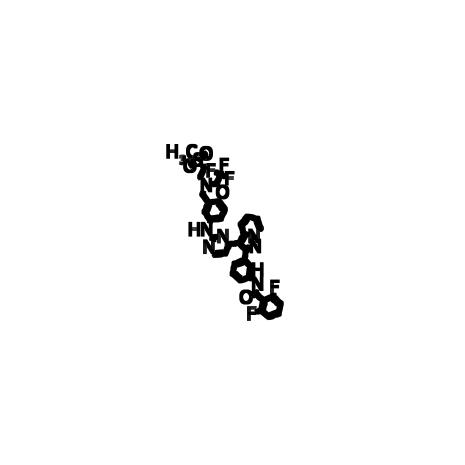 CS(=O)(=O)CCN(Cc1cccc(Nc2nccc(-c3c(-c4cccc(NC(=O)c5c(F)cccc5F)c4)nn4ccccc34)n2)c1)C(=O)C(F)(F)F